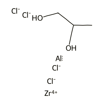 CC(O)CO.[Al].[Cl-].[Cl-].[Cl-].[Cl-].[Zr+4]